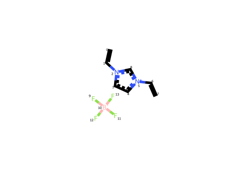 C=Cn1cc[n+](C=C)c1.F[B-](F)(F)F